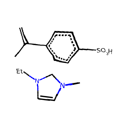 C=C(C)c1ccc(S(=O)(=O)O)cc1.CCN1C=CN(C)C1